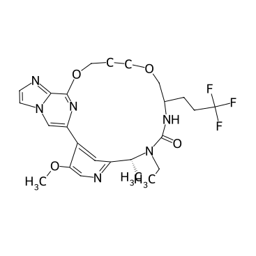 CCN1C(=O)NC(CCC(F)(F)F)COCCCOc2nc(cn3ccnc23)-c2cc(ncc2OC)[C@H]1C